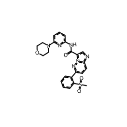 CS(=O)(=O)c1ccccc1-c1ccc2ncc(C(=O)Nc3cccc(N4CCOCC4)n3)n2n1